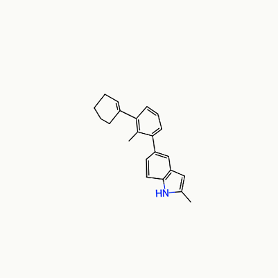 Cc1cc2cc(-c3cccc(C4=CCCCC4)c3C)ccc2[nH]1